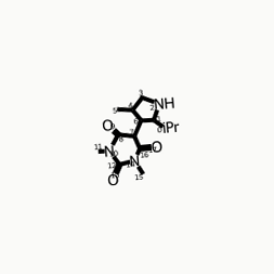 CC(C)C1NCC(C)C1C1C(=O)N(C)C(=O)N(C)C1=O